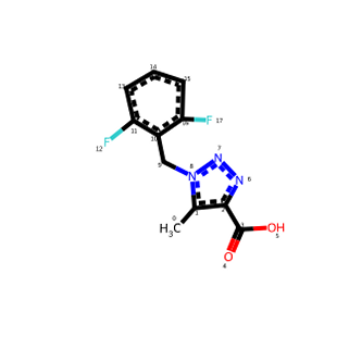 Cc1c(C(=O)O)nnn1Cc1c(F)cccc1F